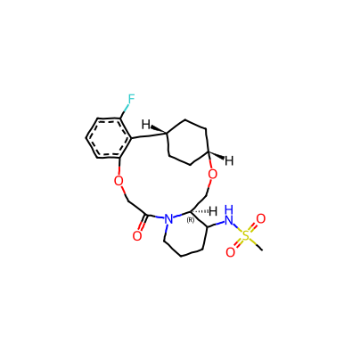 CS(=O)(=O)NC1CCCN2C(=O)COc3cccc(F)c3[C@H]3CC[C@H](CC3)OC[C@@H]12